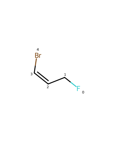 FC/C=C\Br